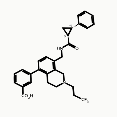 O=C(O)c1cccc(-c2ccc(CNC(=O)[C@H]3C[C@@H]3c3ccccc3)c3c2CCN(CCC(F)(F)F)C3)c1